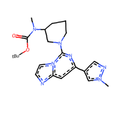 CN(C(=O)OC(C)(C)C)C1CCCN(c2nc(-c3cnn(C)c3)cc3nccn23)C1